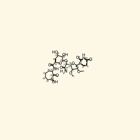 COC1C(OC)[C@H](n2ccc(=O)[nH]c2=O)O[C@@H]1C(O[C@H]1OC(C(=O)NC2CCCCN(O)C2=O)=CC(O)C1O)C(N)=O